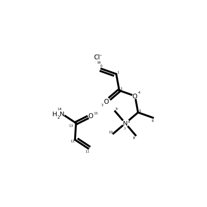 C=CC(=O)OC(C)[N+](C)(C)C.C=CC(N)=O.[Cl-]